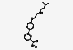 CC(C)CCNCCOc1ccc(-c2cccc(C(N)=O)c2)cc1